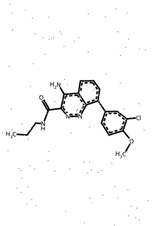 CCCNC(=O)c1nnc2c(-c3ccc(OC)c(Cl)c3)cccc2c1N